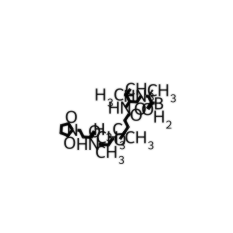 BC(=O)[C@H](C)NC(=O)C(NC(=O)CCC(C)(C)OCCC(C)(C)NC(=O)CCN1C(=O)CCC1=O)C(C)C